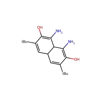 CC(C)(C)C1=CC2C=C(C(C)(C)C)C(O)=C(N)C2C(N)=C1O